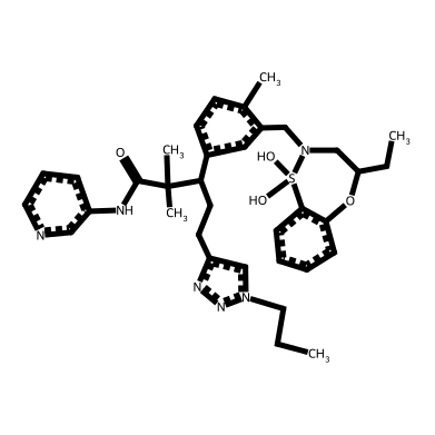 CCCn1cc(CCC(c2ccc(C)c(CN3CC(CC)Oc4ccccc4S3(O)O)c2)C(C)(C)C(=O)Nc2cccnc2)nn1